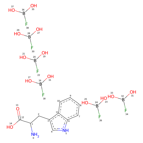 NC(Cc1c[nH]c2ccccc12)C(=O)O.OB(O)F.OB(O)F.OB(O)F.OB(O)F.OB(O)F.OB(O)F